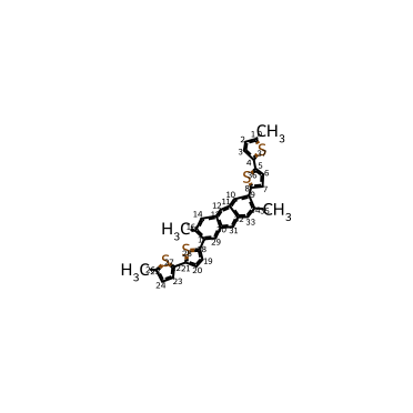 Cc1ccc(-c2ccc(-c3cc4cc5cc(C)c(-c6ccc(-c7ccc(C)s7)s6)cc5cc4cc3C)s2)s1